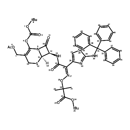 CC(=O)OCC1=C(OC(=O)OC(C)(C)C)N2C(=O)[C@@H](NC(=O)/C(=N\OC(C)(C)C(=O)OC(C)(C)C)c3c[se]c(NC(c4ccccc4)(c4ccccc4)c4ccccc4)n3)[C@H]2SC1